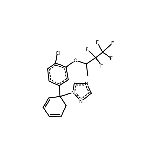 CC(Oc1cc(C2(n3cncn3)C=CC=CC2)ccc1Cl)C(F)(F)C(F)(F)F